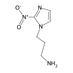 NCCCn1ccnc1[N+](=O)[O-]